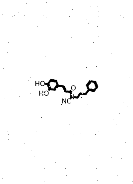 N#CN(CCCc1ccccc1)C(=O)C=Cc1ccc(O)c(O)c1